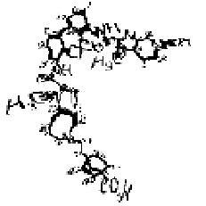 CCCN1CCc2c(nc(C(=O)Nc3cccc(-c4cccc(NC(=O)c5nc6c(n5C)CCN(CCC57CCC(C(=O)O)(CC5)C7)C6)c4Cl)c3Cl)n2C)C1